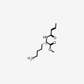 CC=CC(=O)N[C@@H](CCCCN)C(=O)OC